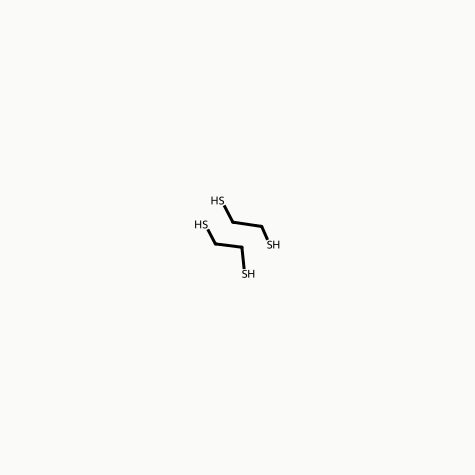 SCCS.SCCS